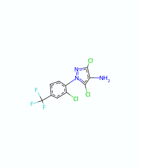 Nc1c(Cl)nn(-c2ccc(C(F)(F)F)cc2Cl)c1Cl